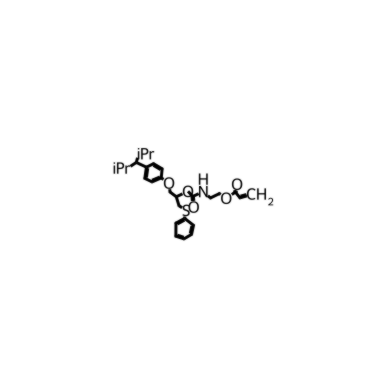 C=CC(=O)OCCNC(=O)OC(COc1ccc(C(C(C)C)C(C)C)cc1)CSc1ccccc1